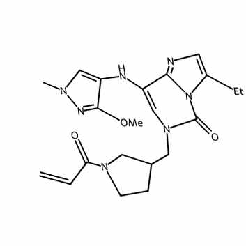 C=CC(=O)N1CCC(Cn2cc(Nc3cn(C)nc3OC)c3ncc(CC)n3c2=O)C1